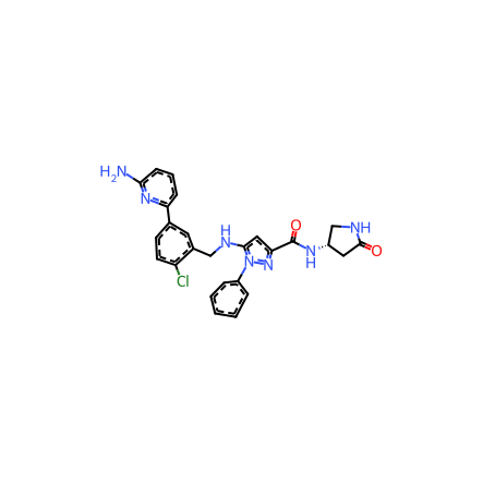 Nc1cccc(-c2ccc(Cl)c(CNc3cc(C(=O)N[C@@H]4CNC(=O)C4)nn3-c3ccccc3)c2)n1